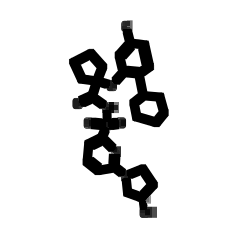 O=C(NS(=O)(=O)c1cccc(N2CC[C@@H](O)C2)n1)C1(Oc2cc(Cl)ccc2C2CCCCC2)CCCC1